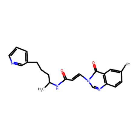 CC(CCCc1cccnc1)NC(=O)/C=C/n1cnc2ccc(C(C)C)cc2c1=O